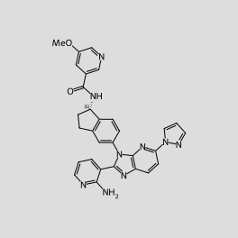 COc1cncc(C(=O)N[C@H]2CCc3cc(-n4c(-c5cccnc5N)nc5ccc(-n6cccn6)nc54)ccc32)c1